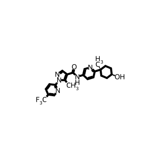 Cc1c(C(=O)Nc2ccc([C@]3(C)CC[C@H](O)CC3)nc2)cnn1-c1ccc(C(F)(F)F)cn1